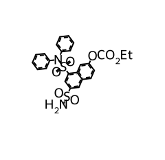 CCOC(=O)Oc1ccc2cc(S(N)(=O)=O)cc(S(=O)(=O)N(c3ccccc3)c3ccccc3)c2c1